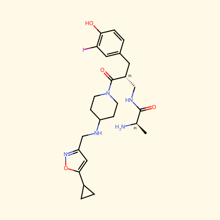 C[C@@H](N)C(=O)NC[C@@H](Cc1ccc(O)c(I)c1)C(=O)N1CCC(NCc2cc(C3CC3)on2)CC1